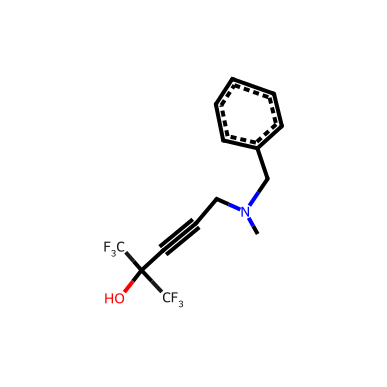 CN(CC#CC(O)(C(F)(F)F)C(F)(F)F)Cc1ccccc1